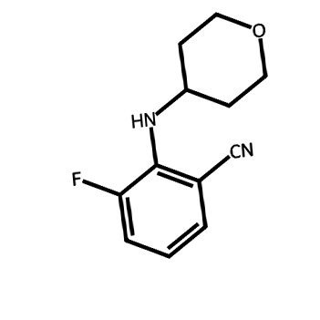 N#Cc1cccc(F)c1NC1CCOCC1